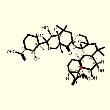 C=C1C(=O)[C@]23[C@H](O)[C@H]1CC[C@H]2[C@@]12CO[C@@]3(O)[C@@H](O)[C@@H]1C(C)(C)CC13CC[C@]4(CC(C)(C)[C@H]5[C@H](O)C(O)([C@]6(C)CCC[C@@H](C(=C)C=O)[C@H]6O)OC[C@@]5(C)C4=O)OC12O3